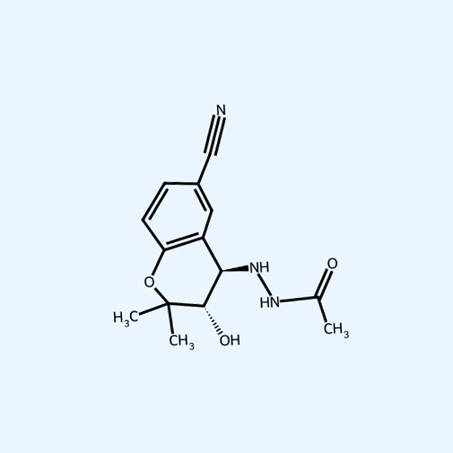 CC(=O)NN[C@@H]1c2cc(C#N)ccc2OC(C)(C)[C@H]1O